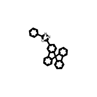 c1ccc(-c2nnc(-c3ccc4c(c3)-c3ccccc3C43c4ccccc4-c4ccccc43)o2)cc1